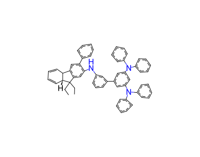 CCC1(CC)c2cc(Nc3cccc(-c4cc(N(c5ccccc5)c5ccccc5)cc(N(c5ccccc5)c5ccccc5)c4)c3)c(-c3ccccc3)cc2C2C=CC=C[C@H]21